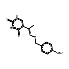 COc1ccc(CO/N=C(\C)c2c[nH]c(=O)[nH]c2=O)cc1